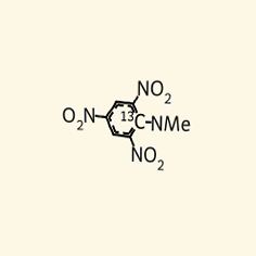 CN[13c]1c([N+](=O)[O-])cc([N+](=O)[O-])cc1[N+](=O)[O-]